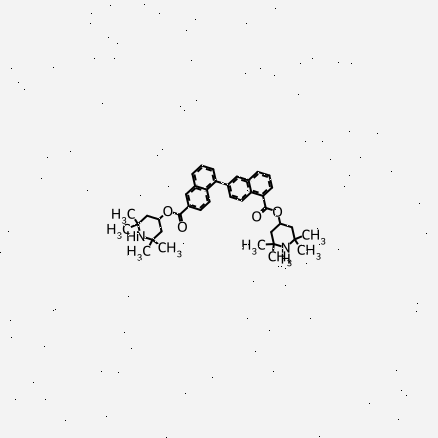 CC1(C)CC(OC(=O)c2ccc3c(-c4ccc5c(C(=O)OC6CC(C)(C)NC(C)(C)C6)cccc5c4)cccc3c2)CC(C)(C)N1